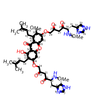 CON[C@@H](Cc1c[nH]cn1)C(=O)CC(=O)COc1cc2oc3cc(OCC(=O)CC(=O)[C@H](Cc4c[nH]cn4)NOC)c(OC)c(CC=C(C)C)c3c(=O)c2c(O)c1CC=C(C)C